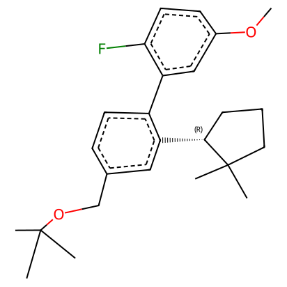 COc1ccc(F)c(-c2ccc(COC(C)(C)C)cc2[C@@H]2CCCC2(C)C)c1